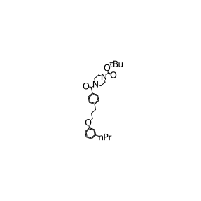 CCCc1cccc(OCCCc2ccc(C(=O)N3CCN(C(=O)OC(C)(C)C)CC3)cc2)c1